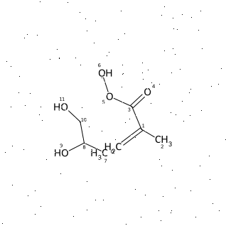 C=C(C)C(=O)OO.CC(O)CO